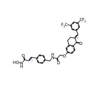 O=C(/C=C/c1ccc(CNC(=O)COc2ccc3c(c2)CC/C(=C\c2cc(C(F)(F)F)cc(C(F)(F)F)c2)C3=O)cc1)NO